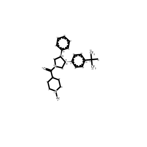 CC(=O)N1CCC(C(=O)N2C[C@@H](c3ccccc3)[C@H](c3ccc(C(C)(C(F)(F)F)C(F)(F)F)cc3)C2)CC1